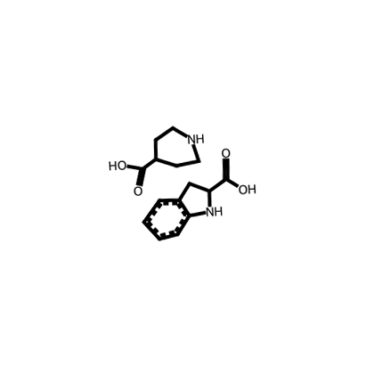 O=C(O)C1CCNCC1.O=C(O)C1Cc2ccccc2N1